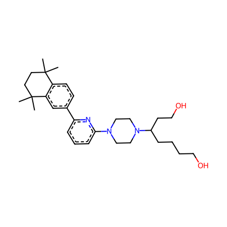 CC1(C)CCC(C)(C)c2cc(-c3cccc(N4CCN(C(CCO)CCCCO)CC4)n3)ccc21